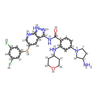 NC1CCN(c2ccc(C(=O)Nc3n[nH]c4ncc(Sc5cc(F)cc(F)c5)cc34)c(NC3CCOCC3)c2)C1